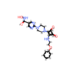 O=C(NO)c1cnc(N2CCN(c3c(NCCOc4ccccc4)c(=O)c3=O)CC2)nc1